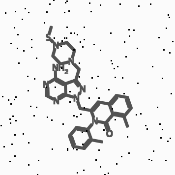 CSN1CCN(Cc2nn(Cc3cc4cccc(C)c4c(=O)n3-c3ccccc3C)c3ncnc(N)c23)CC1